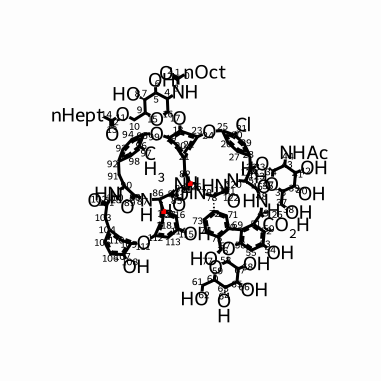 CCCCCCCCC(=O)NC1C(O)[C@H](O)C(COC(=O)CCCCCCC)O[C@H]1Oc1c2cc3cc1Oc1ccc(cc1Cl)[C@@H](O[C@@H]1OC(CO)[C@@H](O)C(O)C1NC(C)=O)[C@H]1C(=O)N[C@H](C(=O)O)c4cc(O)cc(O[C@H]5OC(CO)[C@@H](O)C(O)C5O)c4-c4cc(ccc4CO)[C@]4(NC(=O)[C@@H]3NC(=O)[C@H]3NC(=O)[C@@H](Cc5ccc(c(C)c5)O2)NC(=O)Cc2ccc(O)c(c2)Oc2cc(O)cc3c2)NN1C4=O